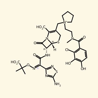 CN(CC[N+]1(CC2=C(C(=O)O)N3C(=O)[C@@H](NC(=O)/C(=N\OC(C)(C)C(=O)O)c4nsc(N)n4)[C@H]3SC2)CCCC1)C(=O)c1ccc(O)c(O)c1Cl